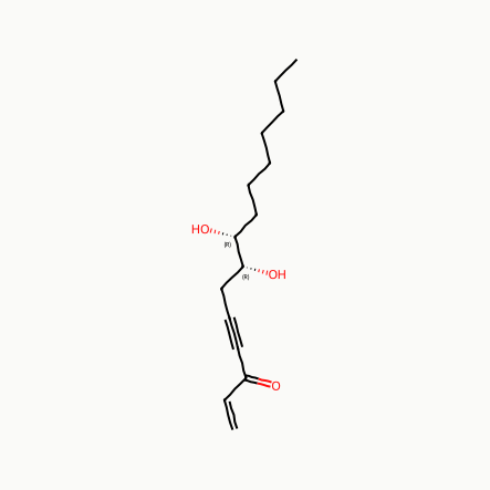 C=CC(=O)C#CC[C@@H](O)[C@H](O)CCCCCCC